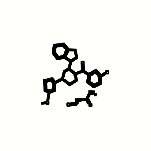 COc1cccc(N2CCN(C(=O)c3cccc(Cl)c3)C(C3CCc4ccccc43)C2)c1.NC(=O)NC=O